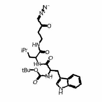 CC(C)CC(NC(=O)C(Cc1c[nH]c2ccccc12)NC(=O)OC(C)(C)C)C(=O)NCCC(=O)C=[N+]=[N-]